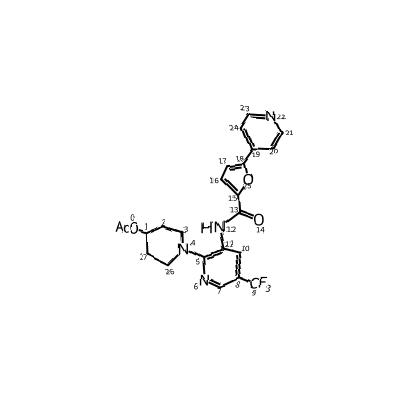 CC(=O)OC1CCN(c2ncc(C(F)(F)F)cc2NC(=O)c2ccc(-c3ccncc3)o2)CC1